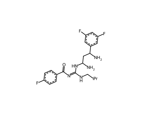 CC(C)CN/C(=N/C(=O)c1ccc(F)cc1)NC(N)CC(N)c1cc(F)cc(F)c1